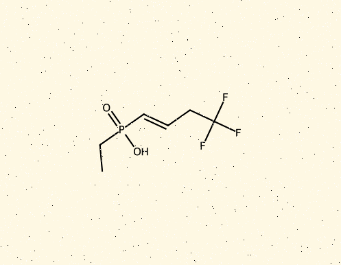 CCP(=O)(O)C=CCC(F)(F)F